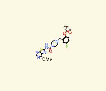 COc1ncnc2sc(NC(=O)N3CCN(Cc4cc(F)ccc4OC(=O)C(F)(F)F)CC3)nc12